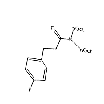 CCCCCCCCN(CCCCCCCC)C(=O)CCc1ccc(F)cc1